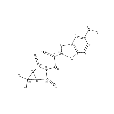 COc1ccc2c(c1)CN(C(=O)ON1C(=O)C3C(C1=O)C3(C)C)C2